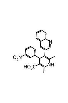 CC1=C(C(=O)O)C(c2cccc([N+](=O)[O-])c2)C(c2cnc3ccccc3c2)=C(C)N1